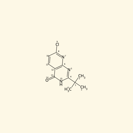 CC(C)(C)c1nc2nc(Cl)ccc2c(=O)[nH]1